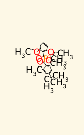 CCCCP(=O)(C(=O)c1c(C)cc(C(C)(C)C)cc1C)C(=O)c1c(OCC)cccc1OCC